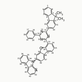 CC1(C)c2ccccc2-c2cc(-c3nc(-c4ccccc4)nc(-c4cccc5c4oc4cc(-n6c7ccccc7c7cccnc76)ccc45)n3)ccc21